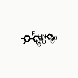 Cc1ccc(-c2c[n+]([O-])c(C(=O)NC3C=CS(=O)(=O)C3)cc2F)cc1C